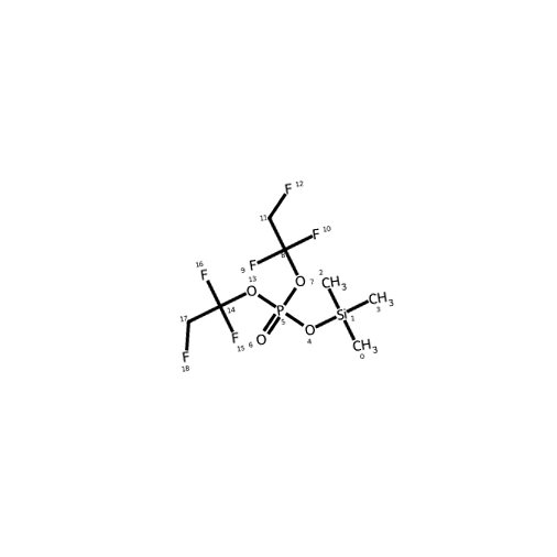 C[Si](C)(C)OP(=O)(OC(F)(F)CF)OC(F)(F)CF